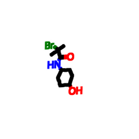 CC(C)(Br)C(=O)NC1CCC(O)CC1